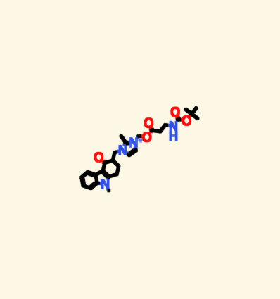 Cc1n(CC2CCc3c(c4ccccc4n3C)C2=O)cc[n+]1COC(=O)CCNC(=O)OC(C)(C)C